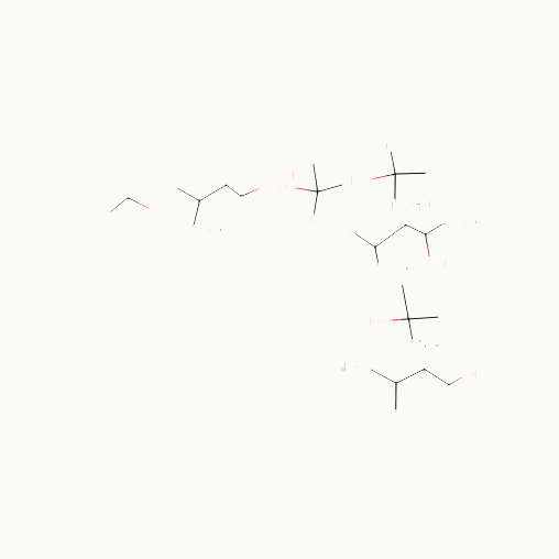 CCCCCCCC(C)(O)CCC.CCCCCCCCC(C)(O)CC.CCCCCCCCC(CCCCCC)CC(O)CCCCCC.CCCCCCCCCC(C)(C)O.CCCCCCCCCCC(CCO)CCCCCC.CCCCCCCCCCC(CCO)CCCCCCCC.CCCCCCCCCCCO